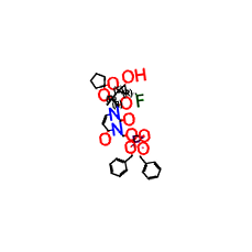 C[C@@]12OC3(CCCC3)O[C@@]13C(O)[C@@]3(CF)O[C@H]2n1ccc(=O)n(COP(=O)(OCc2ccccc2)OCc2ccccc2)c1=O